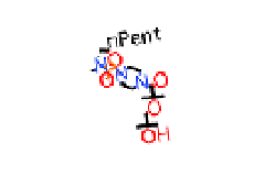 CCCCCC(C)OP(=O)(N(C)C)N1CCN(C(=O)C(C)(C)OCC(C)(C)O)CC1